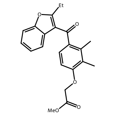 CCc1oc2ccccc2c1C(=O)c1ccc(OCC(=O)OC)c(C)c1C